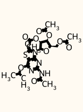 CC(=O)Nc1nc(OC(C)C)c2sc(=O)n([C@@H]3O[C@H](COC(C)=O)[C@@H](OC(C)=O)[C@H]3OC(C)=O)c2n1